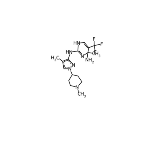 Cc1cn(C2CCN(C)CC2)nc1NC1=NC(C)(N)C(C(F)(F)F)=CN1